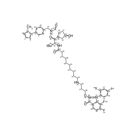 Cc1ncsc1-c1ccc(CNC(=O)[C@@H]2C[C@@H](O)CN2C(=O)[C@@H](NC(=O)CCCCCCCCCNCCCONC(=O)c2ccc(F)c(F)c2Nc2ccc(I)cc2F)C(C)(C)C)cc1